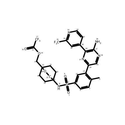 Cc1ccc(S(=O)(=O)NC23CCC(COC(=O)C(F)(F)F)(CC2)OC3)cc1-c1cnc(N)c(-c2ccnc(C(F)(F)F)c2)n1